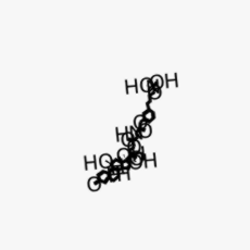 C[C@]12C=CC(=O)C=C1CC[C@H]1[C@@H]3C[C@@H](O)[C@](O)(C(=O)COC(=O)CNC(=O)Oc4cccc(CCCON(O)O)c4)[C@@]3(C)C[C@H](O)[C@@]12F